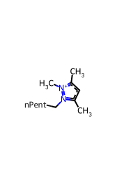 CCCCCCn1c(C)cc(C)[n+]1C